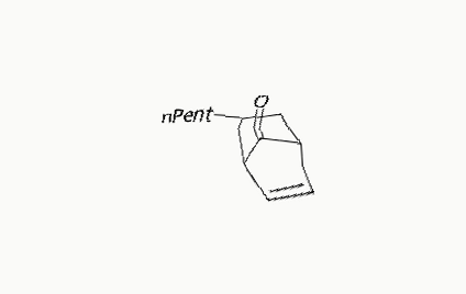 CCCCCC1CC2C=CC1C2=O